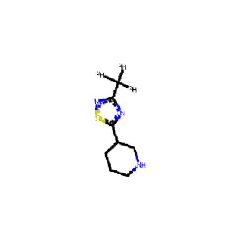 [2H]C([2H])([2H])c1nsc(C2CCCNC2)n1